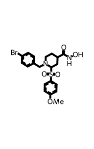 COc1ccc(S(=O)(=O)C2CC(C(=O)NO)CCN2Cc2ccc(Br)cc2)cc1